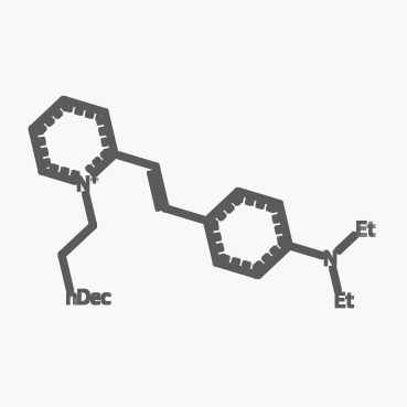 CCCCCCCCCCCC[n+]1ccccc1/C=C/c1ccc(N(CC)CC)cc1